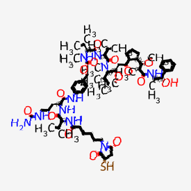 CC[C@H](C)[C@@H]([C@@H](CC(=O)C1CCC[C@H]1[C@H](OC)[C@@H](C)C(=O)N[C@H](C)[C@@H](O)c1ccccc1)OC)N(C)C(=O)[C@@H](NC(=O)[C@H](C(C)C)N(C)C(=O)OCc1ccc(NC(=O)[C@H](CCCNC(N)=O)NC(=O)[C@@H](NC(=O)CCCCCN2C(=O)CC(S)C2=O)C(C)C)cc1)C(C)C